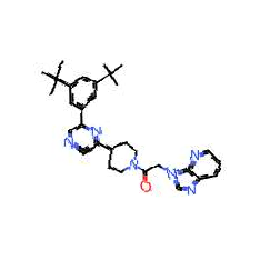 CC(C)(C)c1cc(-c2cncc(C3CCN(C(=O)Cn4cnc5cccnc54)CC3)n2)cc(C(C)(C)C)c1